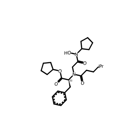 CC(C)CCC(=O)N(CC(=O)N(O)C1CCCC1)[C@@H](Cc1ccccc1)C(=O)OC1CCCC1